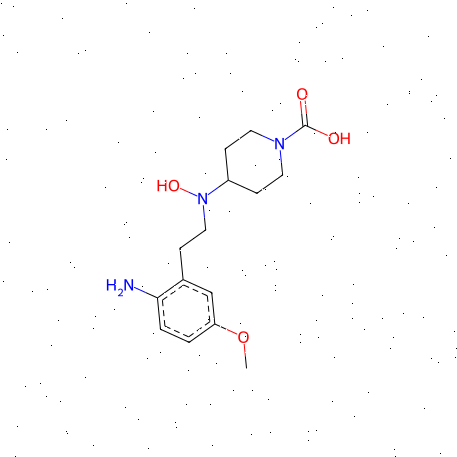 COc1ccc(N)c(CCN(O)C2CCN(C(=O)O)CC2)c1